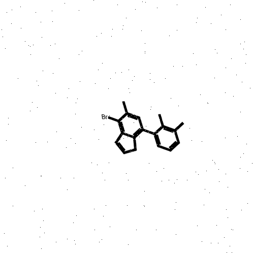 Cc1cccc(-c2cc(C)c(Br)c3c2CC=C3)c1C